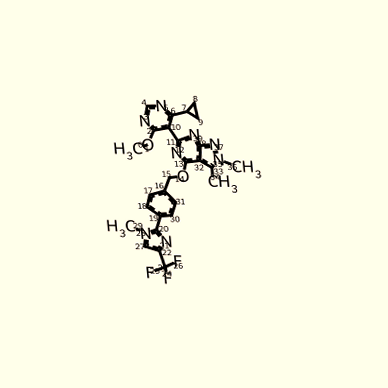 COc1ncnc(C2CC2)c1-c1nc(OCc2ccc(-c3nc(C(F)(F)F)cn3C)cc2)c2c(C)n(C)nc2n1